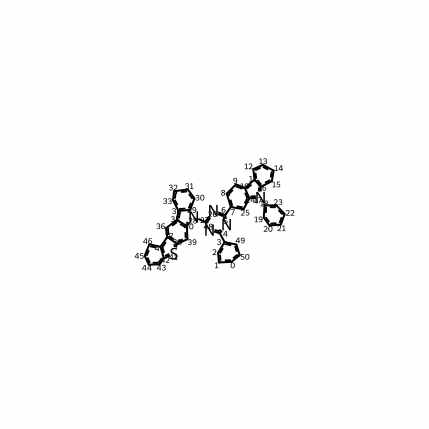 c1ccc(-c2nc(-c3ccc4c5ccccc5n(-c5ccccc5)c4c3)nc(-n3c4ccccc4c4cc5c(cc43)sc3ccccc35)n2)cc1